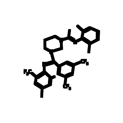 C/C(=N\c1c(C)cccc1C)N1CCCN(/C(=N/c2c(C)cc(C)cc2C(F)(F)F)c2cc(C(F)(F)F)cc(C(F)(F)F)c2)C1